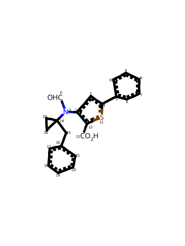 O=CN(c1cc(-c2ccccc2)sc1C(=O)O)C1(Cc2ccccc2)CC1